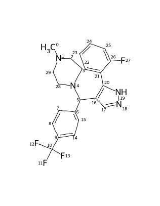 CN1CCN(C(c2ccc(C(F)(F)F)cc2)c2cn[nH]c2-c2ccccc2F)CC1